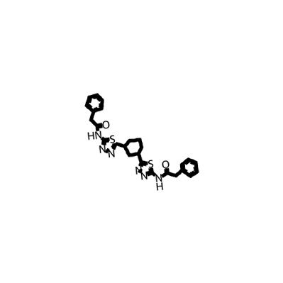 O=C(Cc1ccccc1)Nc1nnc(C2CCCC(c3nnc(NC(=O)Cc4ccccc4)s3)C2)s1